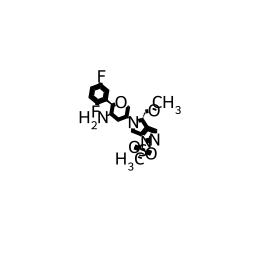 COC[C@@H]1c2cnn(S(C)(=O)=O)c2CN1[C@H]1CO[C@H](c2cc(F)ccc2F)[C@@H](N)C1